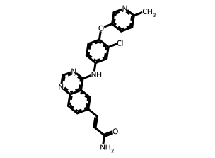 Cc1ccc(Oc2ccc(Nc3ncnc4ccc(C=CC(N)=O)cc34)cc2Cl)cn1